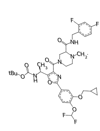 [CH2]N1CCN(C(=O)c2nc(-c3ccc(OC(F)F)c(OCC4CC4)c3)oc2[C@H](C)NC(=O)OC(C)(C)C)CC1C(=O)NCc1ccc(F)cc1F